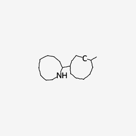 CC1CCCCCC(C2CCCCCCCCN2)CCC1